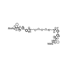 CN[C@@H](C)C(=O)N[C@H](C(=O)N1CCC[C@H]1c1cncc(-c2ccc(F)c(C(=O)NCCCOCCOCCOCCOCCOCCCNC(=O)c3cc(-c4cncc([C@@H]5CCCN5C(=O)[C@@H](NC(=O)[C@H](C)NC)C5CCCCC5)c4)ccc3F)c2)c1)C1CCCCC1